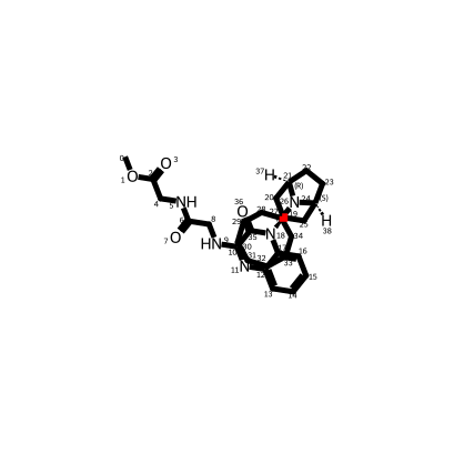 COC(=O)CNC(=O)CNc1nc2ccccc2n([C@H]2C[C@H]3CC[C@@H](C2)N3C2CCCCCCC2)c1=O